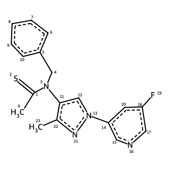 CC(=S)N(Cc1ccccc1)c1cn(-c2cncc(F)c2)nc1C